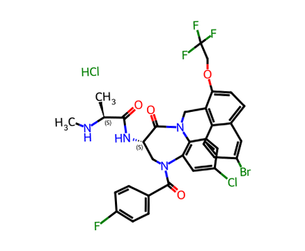 CN[C@@H](C)C(=O)N[C@H]1CN(C(=O)c2ccc(F)cc2)c2cc(Cl)ccc2N(Cc2c(OCC(F)(F)F)ccc3cc(Br)ccc23)C1=O.Cl